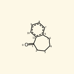 O=C1CCC[C]c2ccccc21